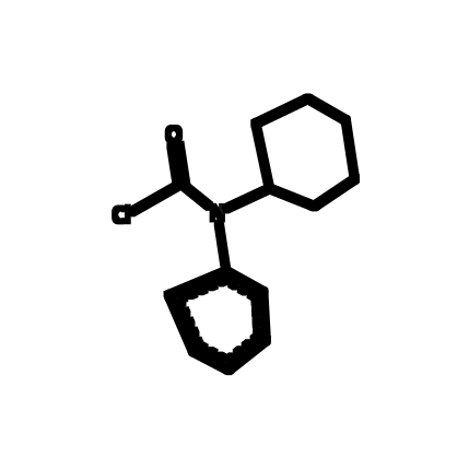 O=C(Cl)N(c1ccccc1)C1CCCCC1